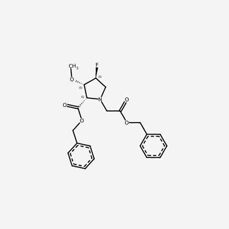 CO[C@H]1[C@@H](C(=O)OCc2ccccc2)N(CC(=O)OCc2ccccc2)C[C@@H]1F